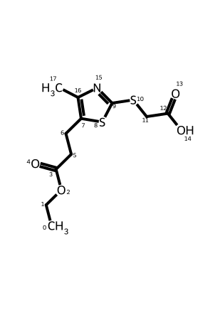 CCOC(=O)CCc1sc(SCC(=O)O)nc1C